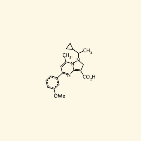 COc1cccc(C2=NC3=C(C(=O)O)CN(C(C)C4CC4)N3C(C)=C2)c1